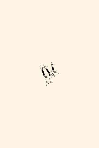 O=[N+]([O-])[O-].O=[N+]([O-])[O-].O=[N+]([O-])[O-].[Pu+3]